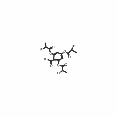 CC(Br)C(=O)Oc1cc(OC(=O)C(C)Br)c(C(=O)O)c(OC(=O)C(C)Br)c1